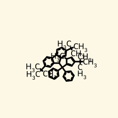 CC1C=C(C(C)(C)C)C=C1C(c1ccccc1)(c1ccccc1)C1c2cc(C(C)(C)C)ccc2-c2ccc(C(C)(C)C)cc21